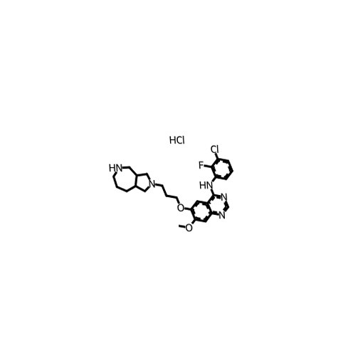 COc1cc2ncnc(Nc3cccc(Cl)c3F)c2cc1OCCCN1CC2CCCNCC2C1.Cl